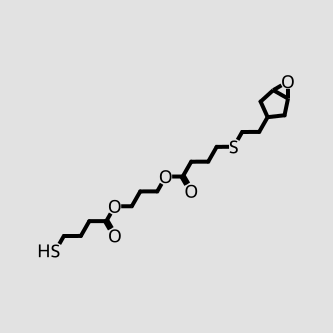 O=C(CCCS)OCCCOC(=O)CCCSCCC1CC2OC2C1